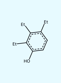 CCc1ccc(O)c(CC)c1CC